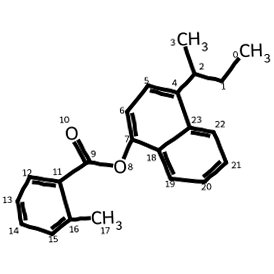 CCC(C)c1ccc(OC(=O)c2ccccc2C)c2ccccc12